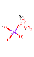 O.O.[Na+].[O-][I+3]([O-])([O-])[O-]